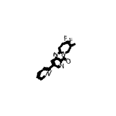 CC1Cn2c(nc3cc(-c4ccccn4)cnc3c2=O)CCC1(F)F